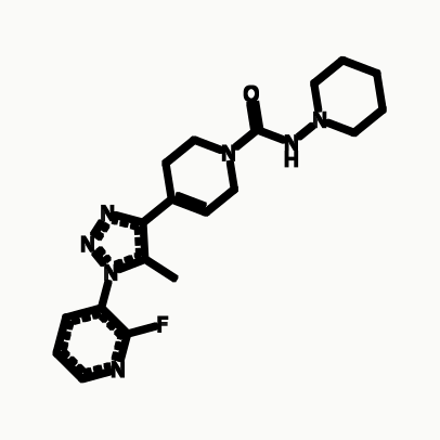 Cc1c(C2=CCN(C(=O)NN3CCCCC3)CC2)nnn1-c1cccnc1F